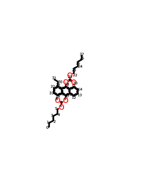 CCCCCCOC(=O)Oc1c2ccccc2c(OC(=O)OCCCCCC)c2c(CC)cccc12